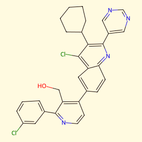 OCc1c(-c2ccc3nc(-c4cncnc4)c(C4CCCCC4)c(Cl)c3c2)ccnc1-c1cccc(Cl)c1